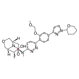 COCOc1cc(-c2ccn(C3CCCCO3)n2)ccc1-c1ccc(N(C)[C@@H]2C[C@H]3COC[C@@H]([C@@H]2F)N3C(=O)O)nn1